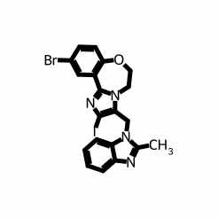 Cc1nc2ccccc2n1Cc1c(I)nc2n1CCOc1ccc(Br)cc1-2